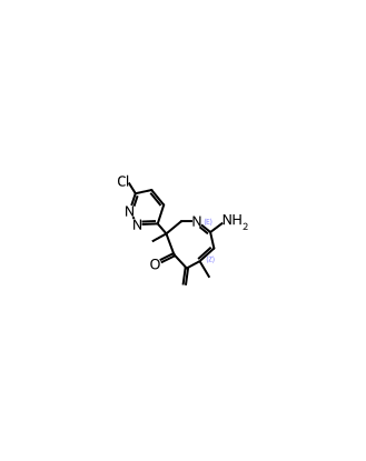 C=C1C(=O)C(C)(c2ccc(Cl)nn2)C/N=C(N)\C=C/1C